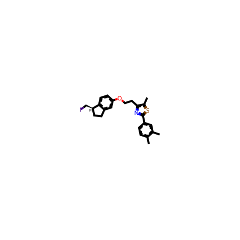 Cc1ccc(-c2nc(CCOc3ccc4c(c3)CC[C@H]4CI)c(C)s2)cc1C